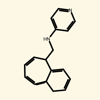 C1=CCC23CCCCC2=CC=CC(CNc2ccncc2)C3=C1